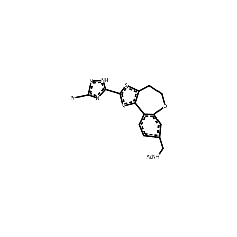 CC(=O)NCc1ccc2c(c1)OCCc1sc(-c3nc(C(C)C)n[nH]3)nc1-2